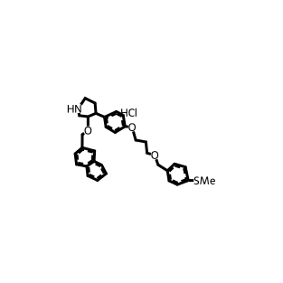 CSc1ccc(COCCCOc2ccc(C3CCNCC3OCc3ccc4ccccc4c3)cc2)cc1.Cl